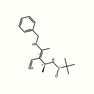 C/C(NCc1ccccc1)=C(/C=N)[C@H](C)N[S+]([O-])C(C)(C)C